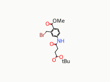 COC(=O)c1ccc(NC(=O)CCC(=O)OC(C)(C)C)cc1CBr